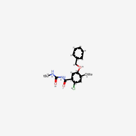 COc1cc(Cl)c(C(=O)NC(=O)NC(C)(C)C)cc1OCc1ccccc1